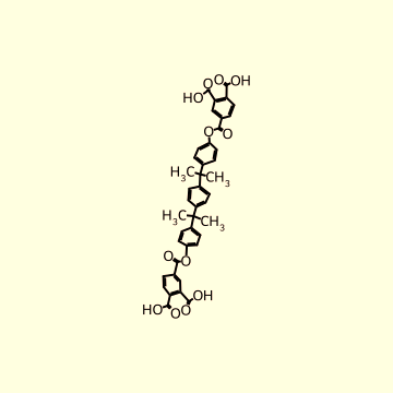 CC(C)(c1ccc(OC(=O)c2ccc(C(=O)O)c(C(=O)O)c2)cc1)c1ccc(C(C)(C)c2ccc(OC(=O)c3ccc(C(=O)O)c(C(=O)O)c3)cc2)cc1